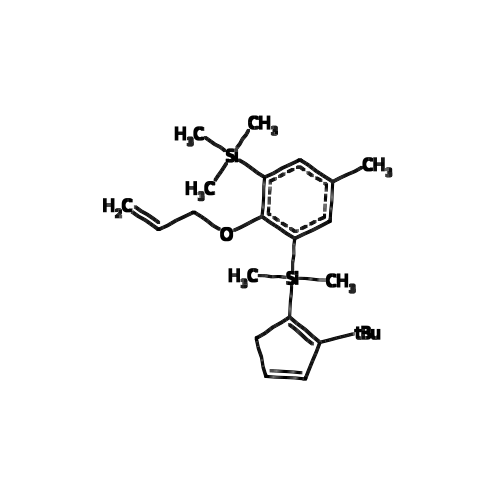 C=CCOc1c([Si](C)(C)C)cc(C)cc1[Si](C)(C)C1=C(C(C)(C)C)C=CC1